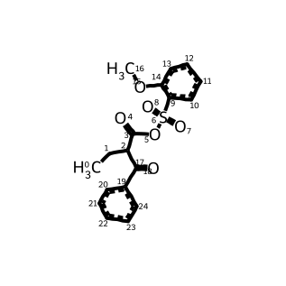 CCC(C(=O)OS(=O)(=O)c1ccccc1OC)C(=O)c1ccccc1